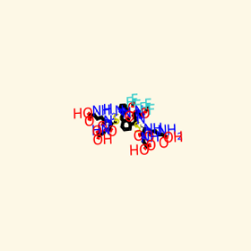 N[C@H](CCC(=O)N[C@@H](CSC(c1nccc(OC(F)(F)F)n1)C1CCCC(C(SC[C@H](NC(=O)CC[C@H](N)C(=O)O)C(=O)NCC(=O)O)c2ccnc(OC(F)(F)F)n2)C1=O)C(=O)NCC(=O)O)C(=O)O